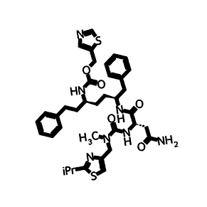 CC(C)c1nc(CN(C)C(=O)N[C@@H](CC(N)=O)C(=O)N[C@@H](CC[C@@H](CCc2ccccc2)NC(=O)OCc2cncs2)Cc2ccccc2)cs1